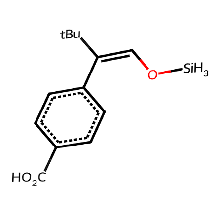 CC(C)(C)/C(=C/O[SiH3])c1ccc(C(=O)O)cc1